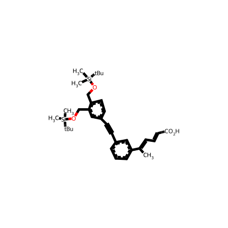 CC(=CC=CC(=O)O)c1cccc(C#Cc2ccc(CO[Si](C)(C)C(C)(C)C)c(CO[Si](C)(C)C(C)(C)C)c2)c1